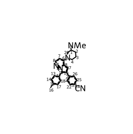 CNC1CCCN(c2ccnn3c(-c4ccc(C)cc4)c(-c4ccc(C#N)cc4)cc23)C1